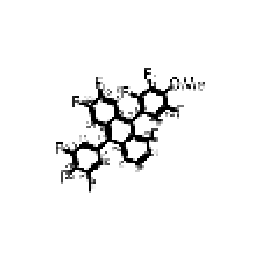 COc1c(F)c(F)c(-c2c3cc(F)c(F)cc3c(-c3cc(F)c(F)c(F)c3)c3cccc(F)c23)c(F)c1F